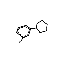 Brc1cc[c]c(C2CCCCC2)c1